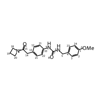 COc1ccc(CNC(=O)Nc2ccc(CC(=O)N3CCC3)cc2)cc1